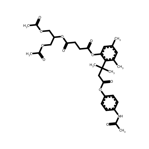 CC(=O)Nc1ccc(OC(=O)CC(C)(C)c2c(C)cc(C)cc2OC(=O)CCC(=O)OC(COC(C)=O)COC(C)=O)cc1